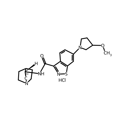 COC1CCN(c2ccc3c(C(=O)N[C@@H]4CN5CCC4CC5)nsc3c2)C1.Cl